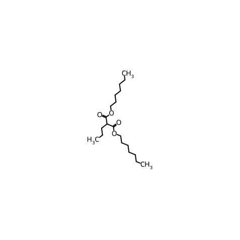 CCCCCCCOC(=O)C(CCC)C(=O)OCCCCCCC